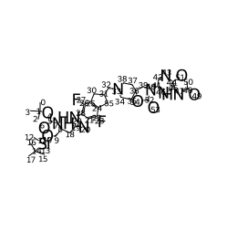 CC(C)(C)OC(=O)N[C@H](CO[Si](C)(C)C(C)(C)C)Cc1nc2c(F)c3c(c(F)c2[nH]1)CC(CN1CCC2(CC1)CN(c1cnc4c(n1)NC(=O)CO4)C(=O)O2)C3